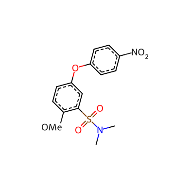 COc1ccc(Oc2ccc([N+](=O)[O-])cc2)cc1S(=O)(=O)N(C)C